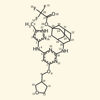 Cc1cc(Nc2cc(OCC3CCOC3)nc(NC3C4CC5CC3CC(OC(=O)C(F)(F)F)(C5)C4)n2)n[nH]1